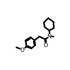 COc1ccc(CC(=O)N(C)C2CCCCC2)cc1